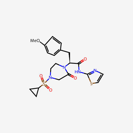 COc1ccc(C[C@@H](C(=O)Nc2nccs2)N2CCN(S(=O)(=O)C3CC3)CC2=O)cc1